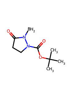 BN1C(=O)CCN1C(=O)OC(C)(C)C